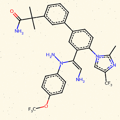 Cc1nc(C(F)(F)F)cn1-c1ccc(-c2cccc(C(C)(C)C(N)=O)c2)cc1/C(=C/N)N(N)c1ccc(OC(F)(F)F)cc1